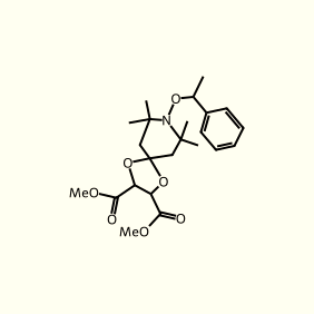 COC(=O)C1OC2(CC(C)(C)N(OC(C)c3ccccc3)C(C)(C)C2)OC1C(=O)OC